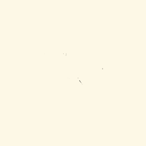 O=C(N[C@@H]1Cc2ccccc2[C@H]1CO)c1cc2c([nH]1)C(Cl)C(Cl)S2